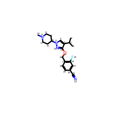 CC(C)c1cn(C2CCN(C)CC2)nc1OCc1ccc(C#N)cc1F